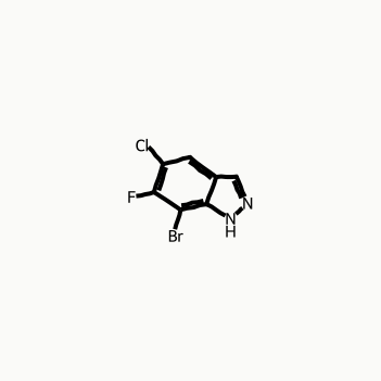 Fc1c(Cl)cc2cn[nH]c2c1Br